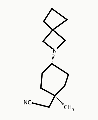 C[C@]1(CC#N)CC[C@H](N2CC3(CCC3)C2)CC1